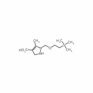 CC1=C(C(=O)O)CNN1COCC[Si](C)(C)C